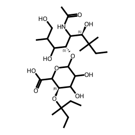 CCC(C)(CC)O[C@H]1C(C(=O)O)OC(O[C@H](C(O)C(C)CO)C(NC(C)=O)[C@@H](O)C(C)(C)CC)C(O)C1O